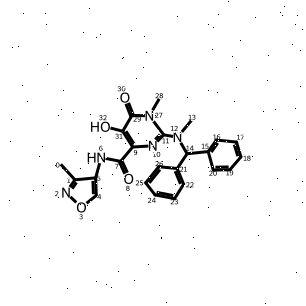 Cc1nocc1NC(=O)c1nc(N(C)C(c2ccccc2)c2ccccc2)n(C)c(=O)c1O